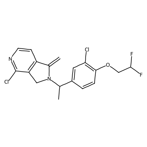 C=C1c2ccnc(Cl)c2CN1C(C)c1ccc(OCC(F)F)c(Cl)c1